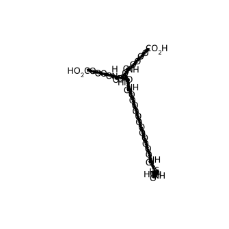 O=C(O)CCOCCOCCOCCOCCNC(=O)COc1cc(OCC(=O)NCCOCCOCCOCCOCCC(=O)O)cc(C(=O)NCCNC(=O)CCOCCOCCOCCOCCOCCOCCOCCOCCOCCOCCOCCOCCNC(=O)CCCC[C@@H]2SC[C@@H]3NC(=O)N[C@@H]32)c1